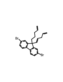 C=CC/C=C/C1(CCCC=C)c2cc(Br)ccc2-c2ccc(Br)cc21